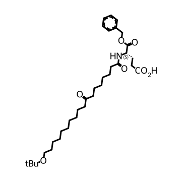 CC(C)(C)OCCCCCCCCCCC(=O)CCCCCCC(=O)N[C@@H](CCC(=O)O)C(=O)OCc1ccccc1